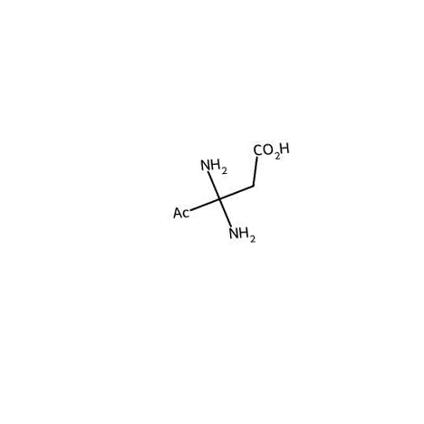 CC(=O)C(N)(N)CC(=O)O